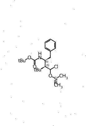 C[SiH](C)OC(Cl)[C@H]([C@H](Cc1ccccc1)NC(=O)OC(C)(C)C)C(C)(C)C